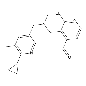 Cc1cc(CN(C)Cc2c(C=O)ccnc2Cl)cnc1C1CC1